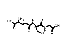 NC(CCC(=O)N[C@@H](CS)C(=O)NCC(=O)O)C(=O)O